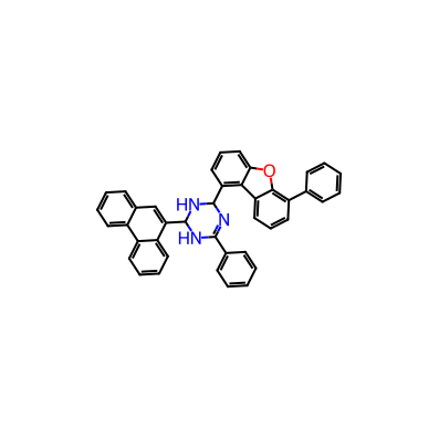 c1ccc(C2=NC(c3cccc4oc5c(-c6ccccc6)cccc5c34)NC(c3cc4ccccc4c4ccccc34)N2)cc1